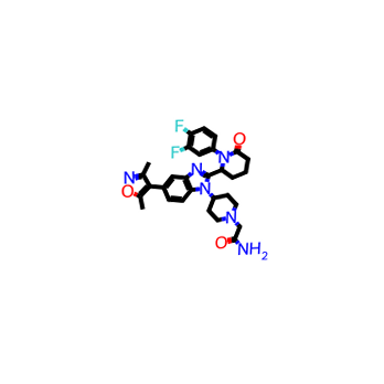 Cc1noc(C)c1-c1ccc2c(c1)nc(C1CCCC(=O)N1c1ccc(F)c(F)c1)n2C1CCN(CC(N)=O)CC1